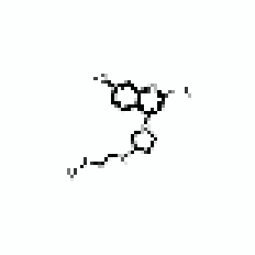 COCCOC1CCN(c2cc(C)nc3cc(O)ccc23)C1